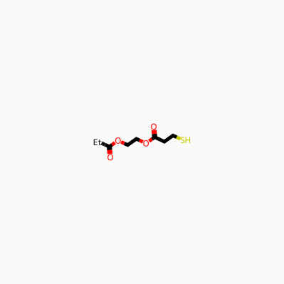 CCC(=O)OCCOC(=O)CCS